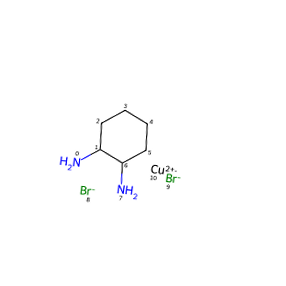 NC1CCCCC1N.[Br-].[Br-].[Cu+2]